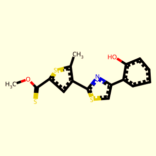 COC(=S)c1cc(-c2nc(-c3ccccc3O)cs2)c(C)s1